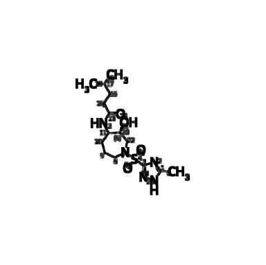 Cc1nc(S(=O)(=O)N2CCCC(NC(=O)[CH]CC(C)C)[C@@H](O)C2)n[nH]1